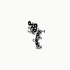 O=C(c1ccccc1)c1c2c3c(c(Nc4cc(CCCC5C(=O)c6ccc(S(=O)(=O)O)cc6C5=O)c(S(=O)(=O)O)cc4S(=O)(=O)O)cc(S(=O)(=O)O)c3[nH]c1=O)C(=O)c1ccccc1-2